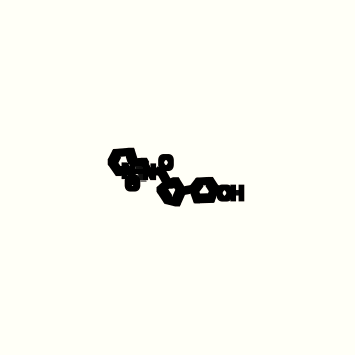 O=C(NCc1cccc[n+]1[O-])c1cccc(-c2ccc(O)cc2)c1